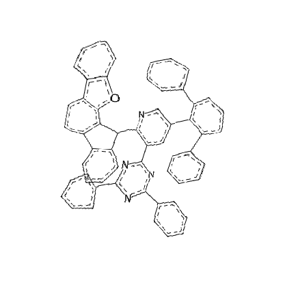 c1ccc(-c2nc(-c3ccccc3)nc(-c3cc(-c4c(-c5ccccc5)cccc4-c4ccccc4)cnc3C3c4ccccc4-c4ccc5c(oc6ccccc65)c43)n2)cc1